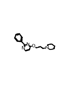 c1ccc(-c2nccc(OCCCN3CCCCC3)n2)cc1